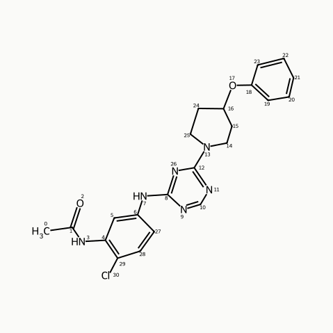 CC(=O)Nc1cc(Nc2ncnc(N3CCC(Oc4ccccc4)CC3)n2)ccc1Cl